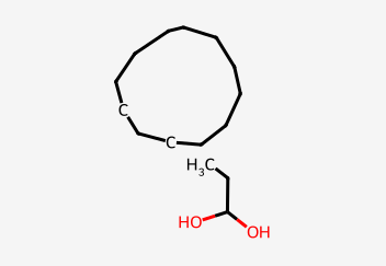 C1CCCCCCCCCCC1.CCC(O)O